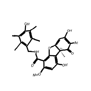 COc1cc(O)c2c(c1C(=O)NCc1c(C)c(C)c(O)c(C)c1C)OC1=CC(O)=C(C(C)=O)C(=O)[C@]12C